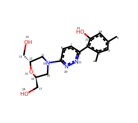 Cc1cc(C)c(-c2ccc(N3C[C@@H](CO)O[C@H](CO)C3)nn2)c(O)c1